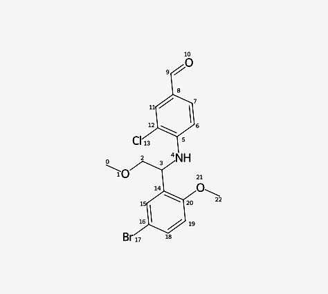 COCC(Nc1ccc(C=O)cc1Cl)c1cc(Br)ccc1OC